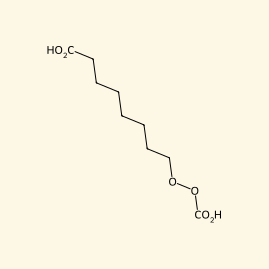 O=C(O)CCCCCCCOOC(=O)O